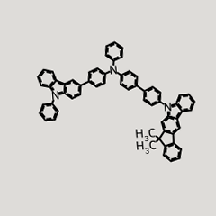 CC1(C)c2ccccc2-c2cc3c4ccccc4n(-c4ccc(-c5ccc(N(c6ccccc6)c6ccc(-c7ccc8c(c7)c7ccccc7n8-c7ccccc7)cc6)cc5)cc4)c3cc21